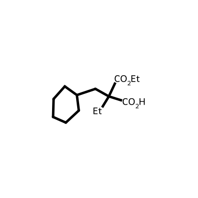 CCOC(=O)C(CC)(CC1CCCCC1)C(=O)O